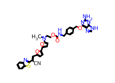 CN(CCOC(=O)NCc1ccc(COc2nc(N)nc3[nH]cnc23)cc1)c1ccc(-c2ccc(/C=C(\C#N)c3nc4ccccc4s3)o2)o1